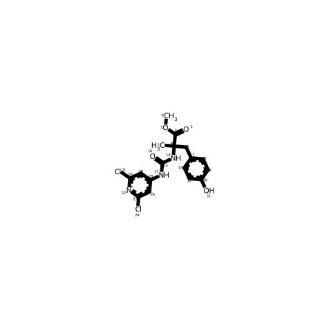 COC(=O)C(C)(Cc1ccc(O)cc1)NC(=O)Nc1cc(Cl)nc(Cl)c1